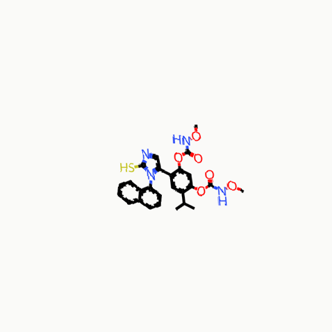 CONC(=O)Oc1cc(OC(=O)NOC)c(C(C)C)cc1-c1cnc(S)n1-c1cccc2ccccc12